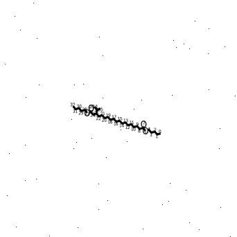 CCCCCOC(=O)CCCCCCCCCCCCCCCC(CC(=O)OCCCCC)C(C)C